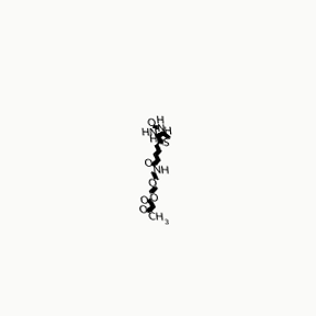 CC(=O)CC(=O)OCCOCCNC(=O)CCCC[C@@H]1SC[C@@H]2NC(=O)N[C@@H]21